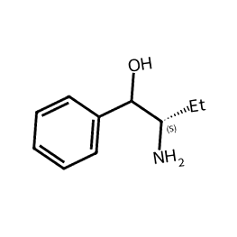 CC[C@H](N)C(O)c1ccccc1